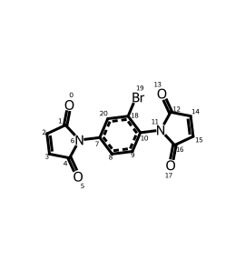 O=C1C=CC(=O)N1c1ccc(N2C(=O)C=CC2=O)c(Br)c1